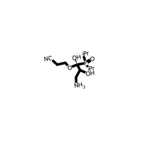 CC(C)P(=O)(C(C)C)[C@](O)(OCCC#N)C(O)CN